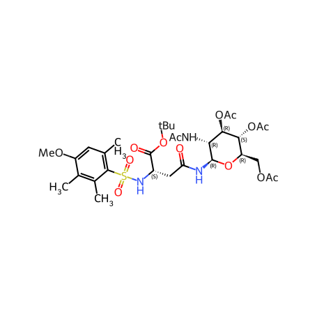 COc1cc(C)c(S(=O)(=O)N[C@@H](CC(=O)N[C@@H]2O[C@H](COC(C)=O)[C@@H](OC(C)=O)[C@H](OC(C)=O)[C@H]2NC(C)=O)C(=O)OC(C)(C)C)c(C)c1C